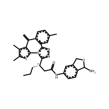 C=C(c1ccc(C)cc1)c1c(-n2c(C)nnc2[C@@H](CCC)CC(=O)Nc2ccc3c(c2)COC3N)sc(C)c1C